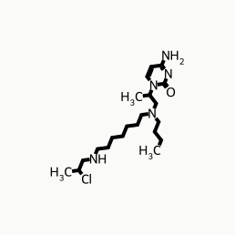 CCCCN(CCCCCCCNCC(C)Cl)CC(C)n1ccc(N)nc1=O